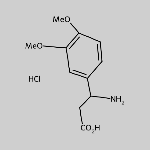 COc1ccc(C(N)CC(=O)O)cc1OC.Cl